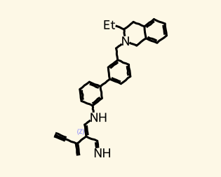 C#CC(=C)/C(C=N)=C/Nc1cccc(-c2cccc(CN3Cc4ccccc4CC3CC)c2)c1